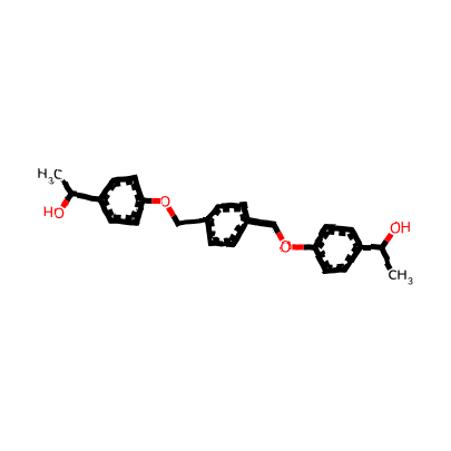 CC(O)c1ccc(OCc2ccc(COc3ccc(C(C)O)cc3)cc2)cc1